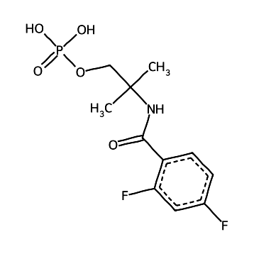 CC(C)(COP(=O)(O)O)NC(=O)c1ccc(F)cc1F